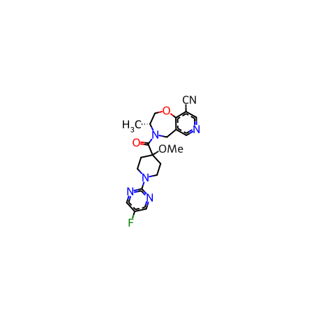 COC1(C(=O)N2Cc3cncc(C#N)c3OC[C@H]2C)CCN(c2ncc(F)cn2)CC1